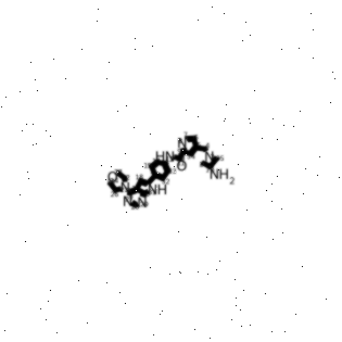 NC1CN(Cc2ccnc(C(=O)Nc3ccc(-c4cc5c(N6CCOCC6)ncnc5[nH]4)cc3)c2)C1